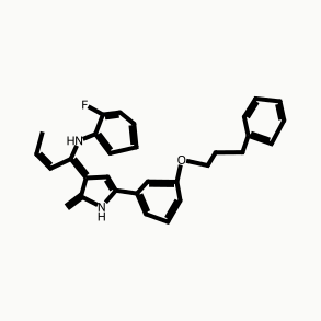 C=c1[nH]c(-c2cccc(OCCCc3ccccc3)c2)c/c1=C(/C=C\C)Nc1ccccc1F